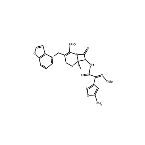 CON=C(C(=O)NC1C(=O)N2C(C(=O)[O-])=C(C[n+]3cccc4occc43)CS[C@@H]12)c1cc(N)on1